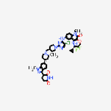 C[C@@H]1C[C@@H](c2ccc3c(C4CCC(=O)NC4=O)nn(C)c3c2)CCN1CC1CCN(c2ncc(Cl)c(Nc3ccc4c(c3)c3c(c(=O)n4C)OCC(F)(F)[C@H](C4CC4)N3)n2)CC1